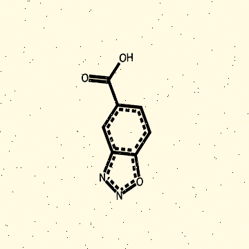 O=C(O)c1ccc2onnc2c1